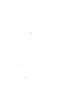 CC[C@@H](CO)OC(C)n1ccc(N)nc1=O